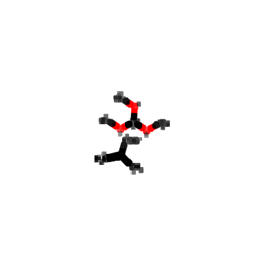 C=C(C)C(=O)[O-].CC(C)(C)[O][Ti+]([O]C(C)(C)C)[O]C(C)(C)C